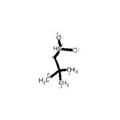 CC(C)(C)C[SiH](Cl)Cl